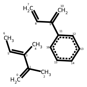 C=C(C)C(C)=CC.C=CC(=C)c1ccccc1